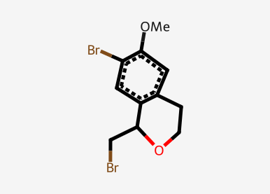 COc1cc2c(cc1Br)C(CBr)OCC2